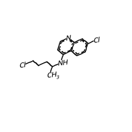 CC(CCCCl)Nc1ccnc2cc(Cl)ccc12